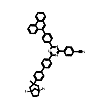 CC1(c2ccc(-c3ccc(-c4nc(-c5ccc(C#N)cc5)nc(-c5ccc(-c6cc7ccccc7c7ccccc67)cc5)n4)cc3)cc2)C[C@@H]2CC[C@@H](C2)C1